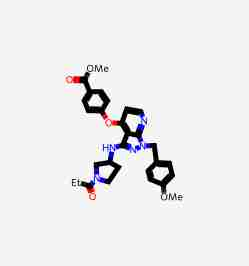 CCC(=O)N1CCC(Nc2nn(Cc3ccc(OC)cc3)c3nccc(Oc4ccc(C(=O)OC)cc4)c23)C1